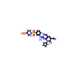 N#Cc1cc2cnc(Nc3cccc(S(=O)(=O)N4CCC(O)CC4)c3)nc2n(C2CCCC2)c1=O